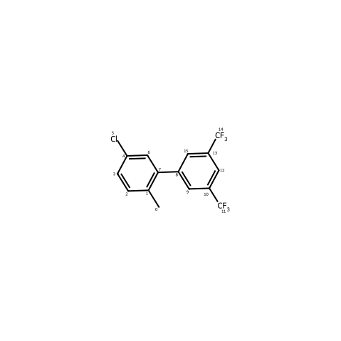 Cc1ccc(Cl)cc1-c1cc(C(F)(F)F)cc(C(F)(F)F)c1